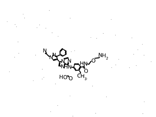 CCc1cc(Nc2nccn3c(-c4cn(CC#N)nc4-c4ccccc4)cnc23)ccc1C(=O)NCCOCCN.O=CO